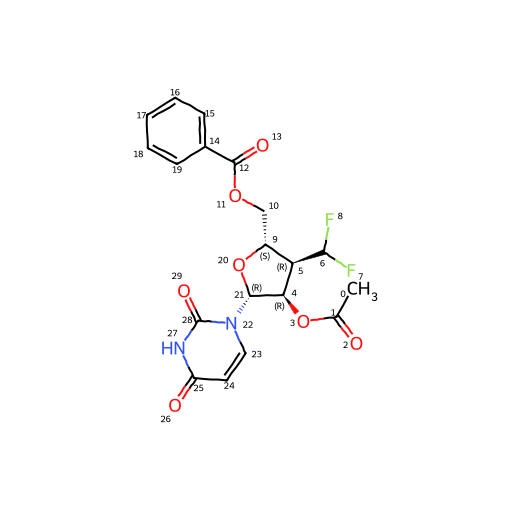 CC(=O)O[C@@H]1[C@H](C(F)F)[C@@H](COC(=O)c2ccccc2)O[C@H]1n1ccc(=O)[nH]c1=O